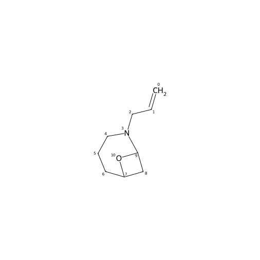 C=CCN1CCCC2CC1O2